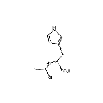 CCC(O)NC(Cc1c[nH]cn1)C(=O)O